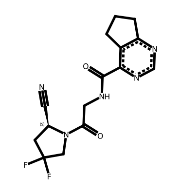 N#C[C@@H]1CC(F)(F)CN1C(=O)CNC(=O)c1ncnc2c1CCC2